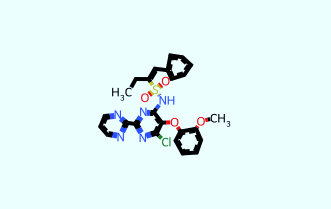 CCC(=Cc1ccccc1)S(=O)(=O)Nc1nc(-c2ncccn2)nc(Cl)c1Oc1ccccc1OC